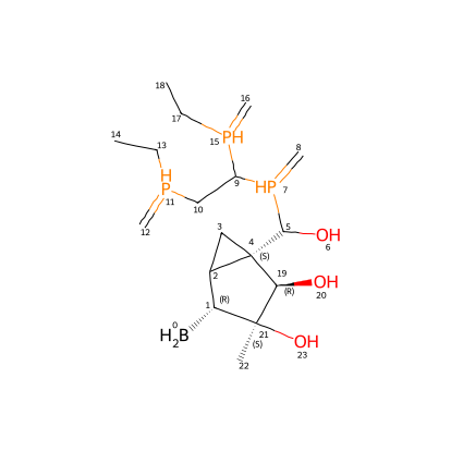 B[C@@H]1C2C[C@@]2(C(O)[PH](=C)C(C[PH](=C)CC)[PH](=C)CC)[C@@H](O)[C@@]1(C)O